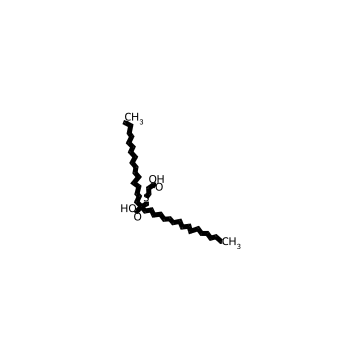 CCCCCCCCCCCCCCCCCCC(CCCCCCCCCCCCCCCCCC)(CSCCC(=O)O)C(=O)O